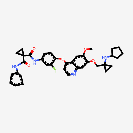 COc1cc2c(Oc3ccc(NC(=O)C4(C(=O)Nc5ccccc5)CC4)cc3F)ccnc2cc1OCC1(NC2CCCC2)CC1